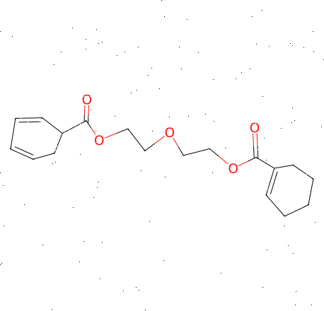 O=C(OCCOCCOC(=O)C1C=CC=CC1)C1=CCCCC1